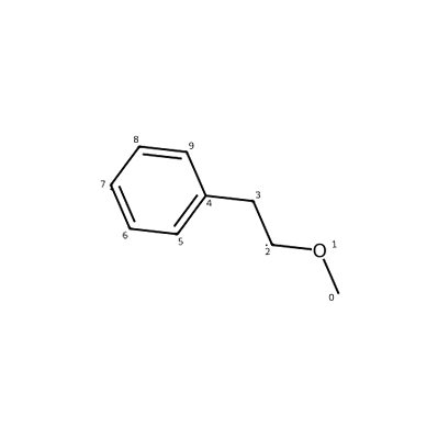 CO[CH]Cc1cc[c]cc1